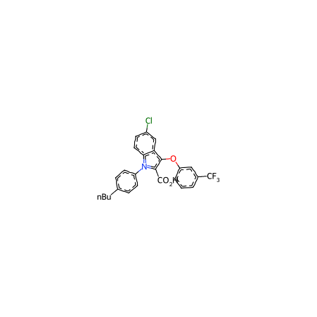 CCCCc1ccc(-n2c(C(=O)O)c(Oc3cccc(C(F)(F)F)c3)c3cc(Cl)ccc32)cc1